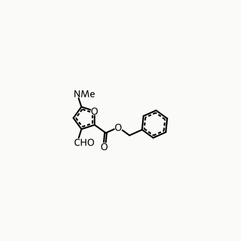 CNc1cc(C=O)c(C(=O)OCc2ccccc2)o1